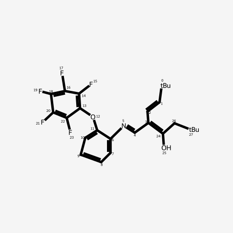 CC(C)(C)/C=C/C(/C=N/c1ccccc1Oc1c(F)c(F)c(F)c(F)c1F)=C(/O)CC(C)(C)C